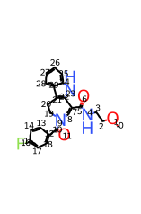 COCCNC(=O)C1=CN(C(=O)c2ccc(F)cc2)CCc2c1[nH]c1ccccc21